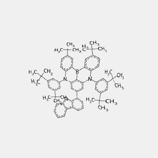 CC(C)(C)c1cc(N2c3ccc(C(C)(C)C)cc3B3c4cc(C(C)(C)C)ccc4N(c4cc(C(C)(C)C)cc(C(C)(C)C)c4)c4cc(-c5cccc6c5oc5ccccc56)cc2c43)cc(C(C)(C)C)c1